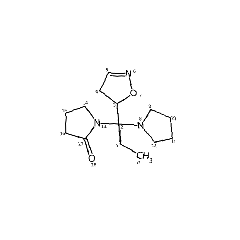 CCC(C1CC=NO1)(N1CCCC1)N1CCCC1=O